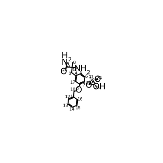 CC(N)(Cc1cccc(OCc2ccccc2)c1)C(N)=O.CS(=O)(=O)O